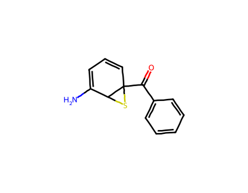 NC1=CC=CC2(C(=O)c3ccccc3)SC12